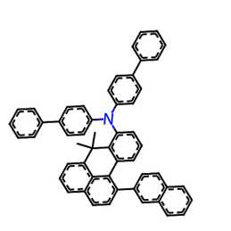 CC1(C)c2c(cccc2N(c2ccc(-c3ccccc3)cc2)c2ccc(-c3ccccc3)cc2)-c2c(-c3ccc4ccccc4c3)ccc3cccc1c23